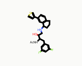 CC(=O)NC(Cc1cc(F)cc(F)c1)C(O)CNC1CCCc2ccc(-c3ccsc3)cc21